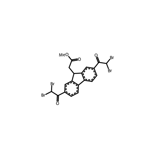 COC(=O)CC1c2cc(C(=O)C(Br)Br)ccc2-c2ccc(C(=O)C(Br)Br)cc21